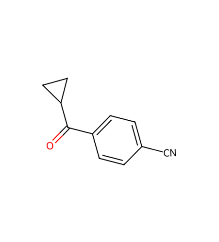 N#Cc1ccc(C(=O)C2CC2)cc1